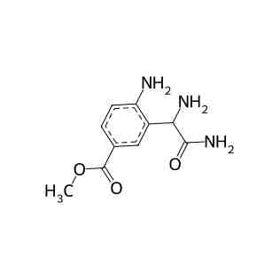 COC(=O)c1ccc(N)c(C(N)C(N)=O)c1